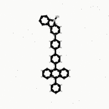 CCn1c2ccccc2c2cc(-c3ccc(-c4ccc(-c5c6ccccc6c(-c6ccccc6)c6ccccc56)cc4)cc3)ccc21